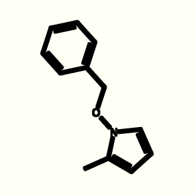 Cc1cccn1OCc1ccccc1